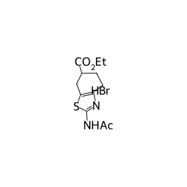 Br.CCOC(=O)C1CCc2nc(NC(C)=O)sc2C1